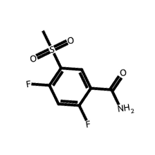 CS(=O)(=O)c1cc(C(N)=O)c(F)cc1F